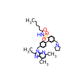 CCCCCC(=O)NS(=O)(=O)c1ccc(CN2CCCC2)cc1-c1ccc(Cn2c(CC)nc3c(C)cc(C)nc32)cc1